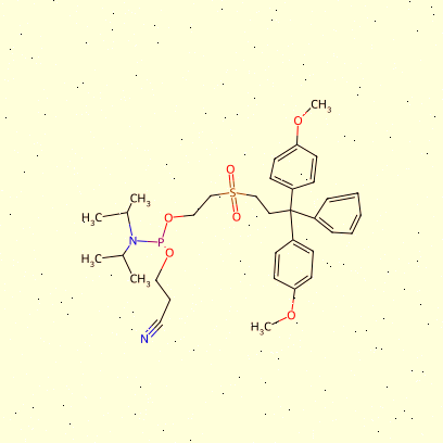 COc1ccc(C(CCS(=O)(=O)CCOP(OCCC#N)N(C(C)C)C(C)C)(c2ccccc2)c2ccc(OC)cc2)cc1